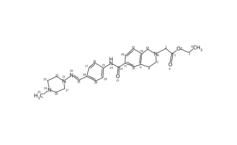 CCOC(=O)CN1CCc2cc(C(=O)Nc3ccc(/C=N/N4CCN(C)CC4)cc3)ccc2C1